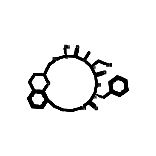 CCC(C)[C@@H]1NCC2CCc3cccc(c3O2)CCCNC(=O)[C@@H](Cc2ccccc2)NC(=O)[C@H](CO)N(C)C1=O